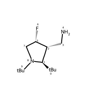 CC(C)(C)[C@@H]1[C@@H](CN)[C@@H](F)CN1C(C)(C)C